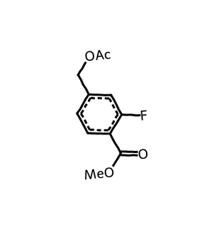 COC(=O)c1ccc(COC(C)=O)cc1F